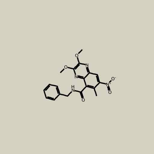 COc1nc2cc([N+](=O)[O-])c(C)c(C(=O)NCc3ccccc3)c2nc1OC